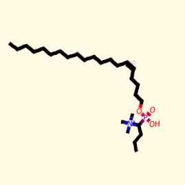 CCCCCCCCCCCCCC/C=C\CCCCOP(=O)(O)C(CCC)[N+](C)(C)C